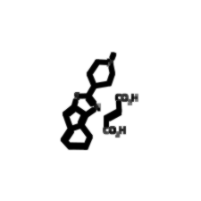 CN1CCC(c2nc3c(s2)=CC2=CC=CCC=32)CC1.O=C(O)C=CC(=O)O